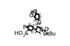 CC(C)(C)OC(=O)N1CC[C@@H](c2ccc(F)c(C(=O)O)c2)[C@H](COc2ccc3c(c2)OCO3)C1